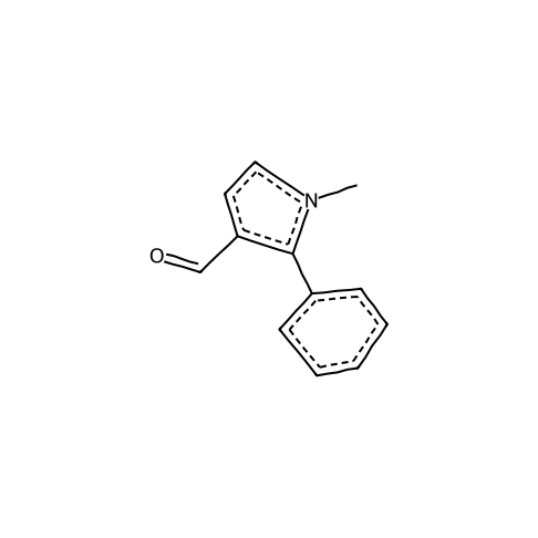 Cn1ccc(C=O)c1-c1ccccc1